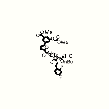 CCCCON(C=O)[C@H](CC)[C@@H](CCc1ccc(F)cc1F)C(=O)NCNC(=O)c1ccc(-c2cc(OCC(=O)OC)cc(C(=O)OC)c2)o1